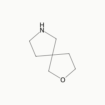 C1CC2(CCOC2)CN1